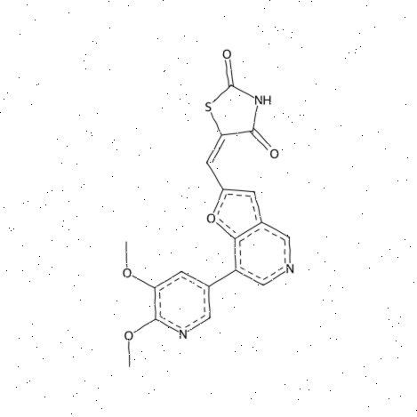 COc1cc(-c2cncc3cc(C=C4SC(=O)NC4=O)oc23)cnc1OC